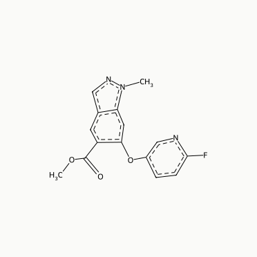 COC(=O)c1cc2cnn(C)c2cc1Oc1ccc(F)nc1